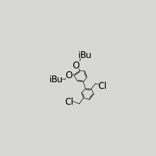 CCC(C)COc1ccc(-c2cc(CCl)ccc2CCl)cc1OCC(C)CC